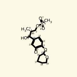 C[C@H](COS(C)(=O)=O)C(O)c1ccc(OC2CCCCO2)c(Cl)c1